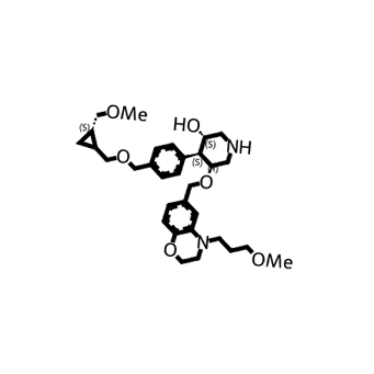 COCCCN1CCOc2ccc(CO[C@H]3CNC[C@@H](O)[C@@H]3c3ccc(COCC4C[C@@H]4COC)cc3)cc21